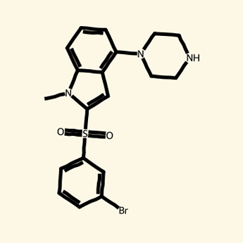 Cn1c(S(=O)(=O)c2cccc(Br)c2)cc2c(N3CCNCC3)cccc21